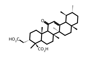 C[C@@H]1CC[C@]2(C)CC[C@]3(C)C(=CC(=O)C4[C@@]5(C)CC[C@@H](CC(=O)O)[C@](C)(C(=O)O)C5CC[C@]43C)C2[C@H]1C